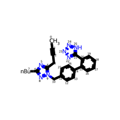 CC#CCc1nc(CCCC)nn1Cc1ccc(-c2ccccc2-c2nnn[nH]2)cc1